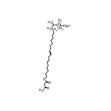 CC(C)[O-].CC(C)[O-].CCCCCCCCC=CCCCCCCCCOC(=O)CC(C)=O.[Al+2]